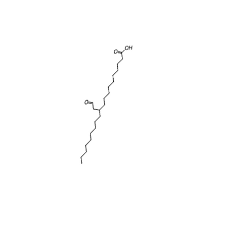 CCCCCCCCCC(CC=O)CCCCCCCCCC(=O)O